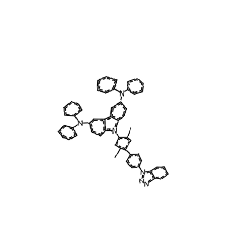 Cc1cc(-n2c3ccc(N(c4ccccc4)c4ccccc4)cc3c3cc(N(c4ccccc4)c4ccccc4)ccc32)c(C)cc1-c1ccc(-n2nnc3ccccc32)cc1